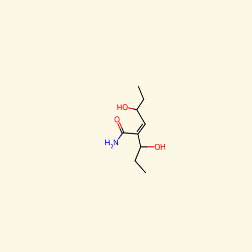 CCC(O)C=C(C(N)=O)C(O)CC